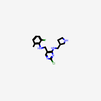 Cc1cccc(F)c1NCc1cnc(Cl)nc1NCC1CCNC1